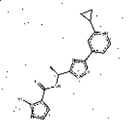 CCn1nccc1C(=O)N[C@@H](C)c1nc(-c2ccnc(C3CC3)c2)no1